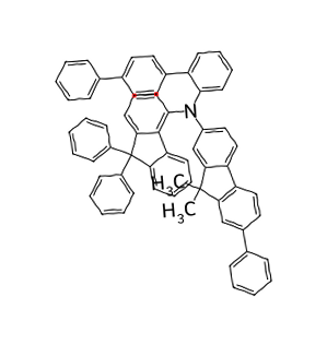 CC1(C)c2cc(-c3ccccc3)ccc2-c2ccc(N(c3ccccc3-c3ccc(-c4ccccc4)cc3)c3cccc4c3-c3ccccc3C4(c3ccccc3)c3ccccc3)cc21